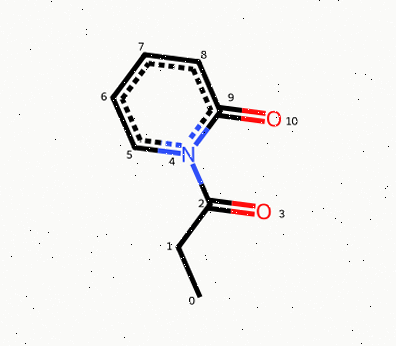 CCC(=O)n1ccccc1=O